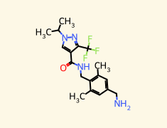 Cc1cc(CN)cc(C)c1CNC(=O)c1cn(C(C)C)nc1C(F)(F)F